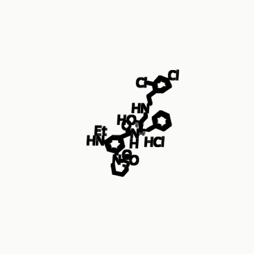 CCNc1cc(C(=O)N[C@@H](Cc2ccccc2)[C@H](O)CNCCc2ccc(Cl)cc2Cl)cc(N2CCCCS2(=O)=O)c1.Cl